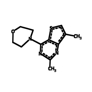 Cc1nc(N2CCOCC2)c2scc(C)c2n1